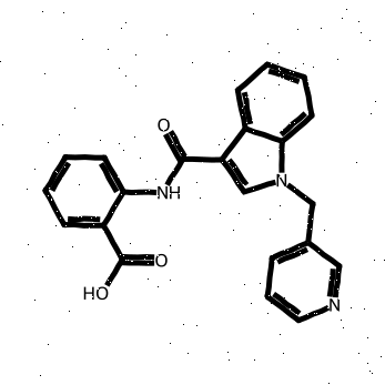 O=C(O)c1ccccc1NC(=O)c1cn(Cc2cccnc2)c2ccccc12